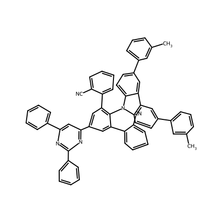 Cc1cccc(-c2ccc3c(c2)c2cc(-c4cccc(C)c4)ccc2n3-c2c(-c3ccccc3C#N)cc(-c3cc(-c4ccccc4)nc(-c4ccccc4)n3)cc2-c2ccccc2C#N)c1